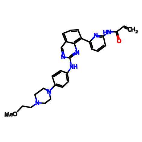 C=CC(=O)Nc1cccc(-c2cccc3cnc(Nc4ccc(N5CCN(CCOC)CC5)cc4)nc23)n1